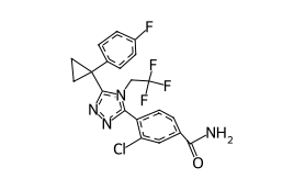 NC(=O)c1ccc(-c2nnc(C3(c4ccc(F)cc4)CC3)n2CC(F)(F)F)c(Cl)c1